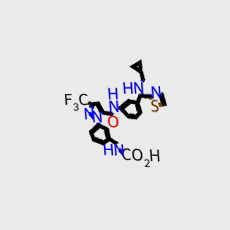 O=C(O)NCc1cccc(-n2nc(C(F)(F)F)cc2C(=O)Nc2cccc(C(NCC3CC3)c3nccs3)c2)c1